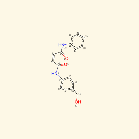 O=C(/C=C\C(=O)Nc1ccc(CO)cc1)Nc1ccccc1